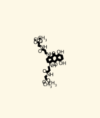 COC(CNC(=O)CCNc1ccc(NCCC(=O)NCC(OC)OC)c2c1C(=O)c1c(O)ccc(O)c1C2=O)OC